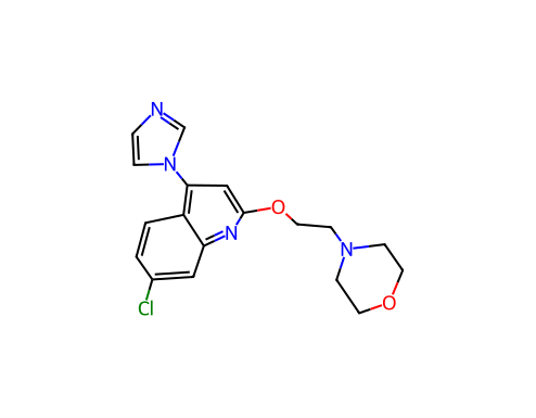 Clc1ccc2c(-n3ccnc3)cc(OCCN3CCOCC3)nc2c1